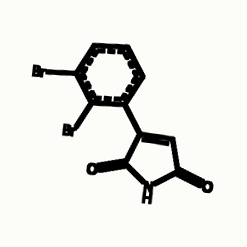 O=C1C=C(c2cccc(Br)c2Br)C(=O)N1